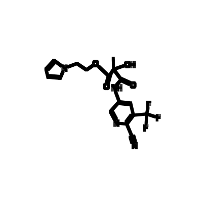 CC(O)(C(=O)Nc1cnc(C#N)c(C(F)(F)F)c1)C(=O)OCCn1cccc1